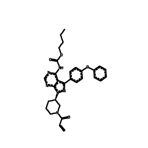 C=CC(=O)N1CCC[C@@H](n2nc(-c3ccc(Oc4ccccc4)cc3)c3c(NC(=O)OCCCC)ncnc32)C1